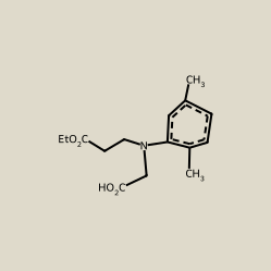 CCOC(=O)CCN(CC(=O)O)c1cc(C)ccc1C